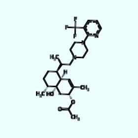 CC(=O)O[C@@H]1[CH][C@@]2(O)[C@H](C)CC[C@@H](C(C)CN3CCN(c4ncccc4C(F)(F)F)CC3)[C@H]2C=C1C